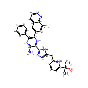 CC(C)(O)c1cccc(Cc2cnc(-c3nc(-c4cc(Cl)c5ncccc5c4)c(-c4ccccc4)nc3N)[nH]2)n1